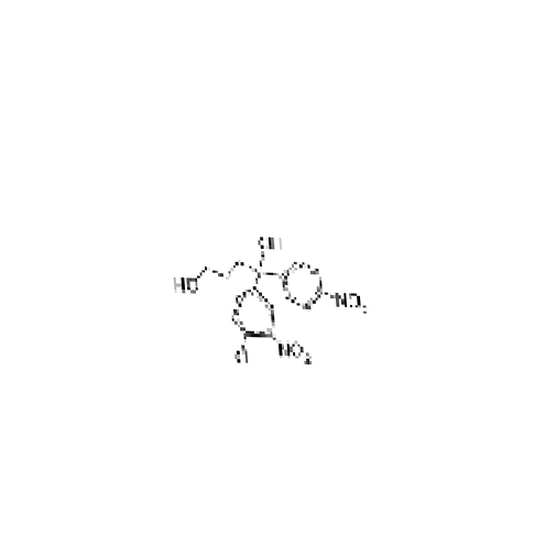 O=[N+]([O-])c1ccc(C(O)(CCCO)c2ccc(Cl)c([N+](=O)[O-])c2)cc1